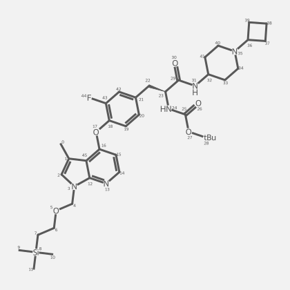 Cc1cn(COCC[Si](C)(C)C)c2nccc(Oc3ccc(C[C@H](NC(=O)OC(C)(C)C)C(=O)NC4CCN(C5CCC5)CC4)cc3F)c12